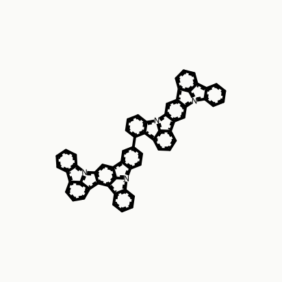 c1ccc2c(c1)c1cccc3c4cc5c(cc4n2c13)c1cccc2c3c(-c4ccc6c(c4)c4cc7c(c8cccc9c%10ccccc%10n7c98)c7c8ccccc8n6c47)cccc3n5c12